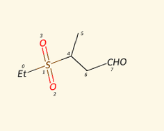 CCS(=O)(=O)C(C)CC=O